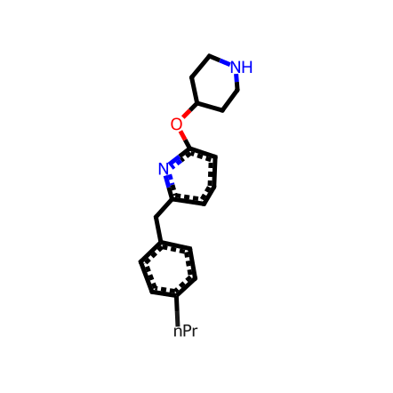 CCCc1ccc(Cc2cccc(OC3CCNCC3)n2)cc1